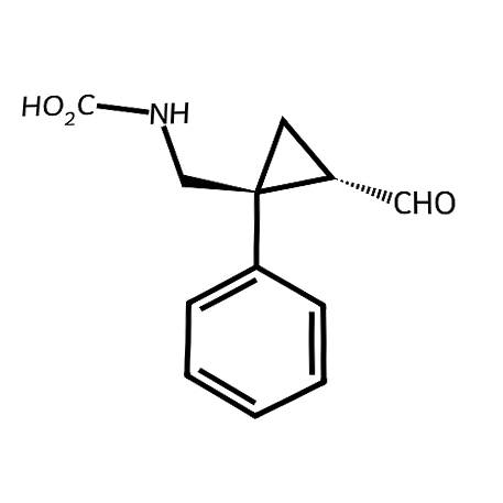 O=C[C@H]1C[C@@]1(CNC(=O)O)c1ccccc1